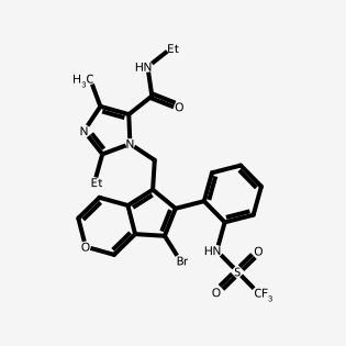 CCNC(=O)c1c(C)nc(CC)n1Cc1c2ccocc-2c(Br)c1-c1ccccc1NS(=O)(=O)C(F)(F)F